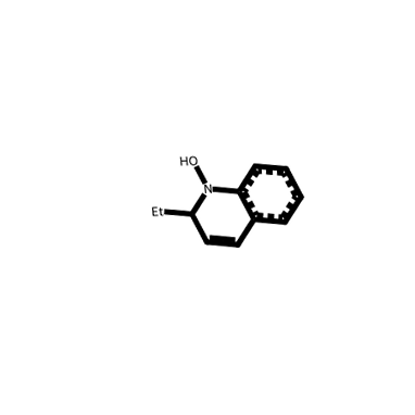 CCC1C=Cc2ccccc2N1O